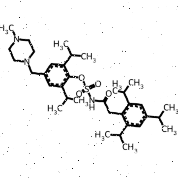 CC(C)c1cc(C(C)C)c(CC(=O)NS(=O)(=O)Oc2c(C(C)C)cc(CN3CCN(C)CC3)cc2C(C)C)c(C(C)C)c1